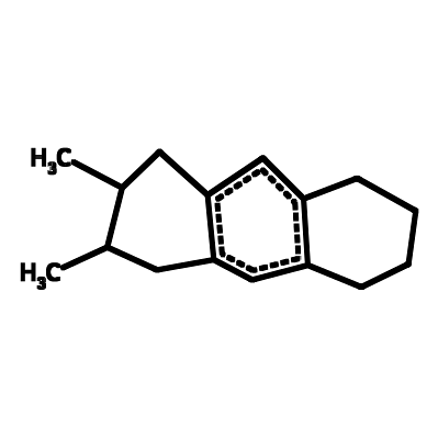 CC1Cc2cc3c(cc2CC1C)CCCC3